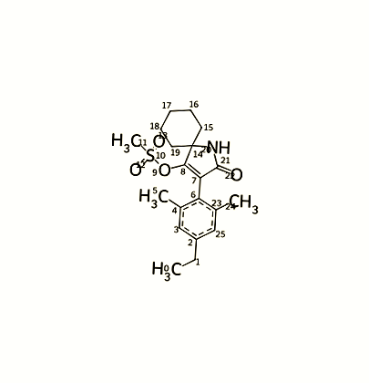 CCc1cc(C)c(C2=C(OS(C)(=O)=O)C3(CCCCC3)NC2=O)c(C)c1